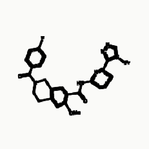 COc1cc2c(cc1C(=O)Nc1cccc(-c3nncn3C(C)C)n1)CN(C(=O)c1ccc(F)cc1)CC2